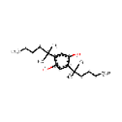 CCOC(=O)CCCC(C)(C)c1cc(O)c(C(C)(C)CCCC(=O)OCC)cc1O